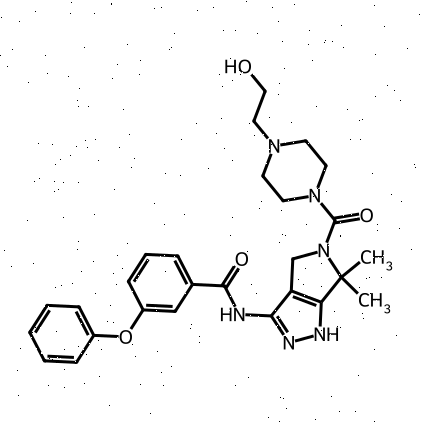 CC1(C)c2[nH]nc(NC(=O)c3cccc(Oc4ccccc4)c3)c2CN1C(=O)N1CCN(CCO)CC1